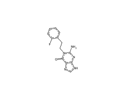 Nc1nc2[nH]cnc2c(=O)n1CCc1ccccc1F